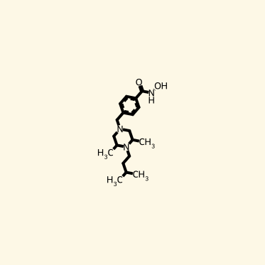 CC(C)CCN1C(C)CN(Cc2ccc(C(=O)NO)cc2)CC1C